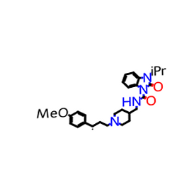 COc1ccc([CH]CCN2CCC(CNC(=O)n3c(=O)n(C(C)C)c4ccccc43)CC2)cc1